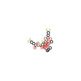 O=C1C(=CC2=Cc3sc4c(c3C2(C(=O)OCc2ccccc2)C(=O)OCc2ccccc2)C(C(=O)OCc2ccccc2)(C(=O)OCc2ccccc2)c2cc(C=C3C(=O)c5cc6cc(F)c(F)cc6cc5C3=O)sc2-4)C(=O)c2cc3cc(F)c(F)cc3cc21